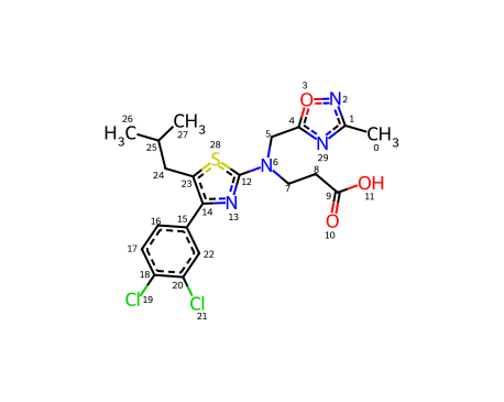 Cc1noc(CN(CCC(=O)O)c2nc(-c3ccc(Cl)c(Cl)c3)c(CC(C)C)s2)n1